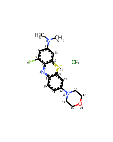 CN(C)c1cc(F)c2nc3ccc(N4CCOCC4)cc3[s+]c2c1.[Cl-]